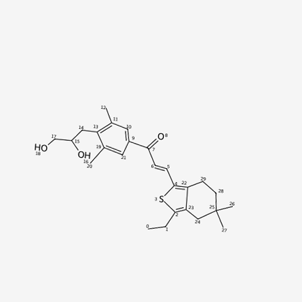 CCc1sc(C=CC(=O)c2cc(C)c(CC(O)CO)c(C)c2)c2c1CC(C)(C)CC2